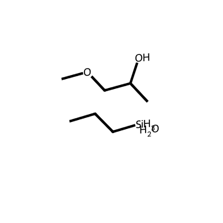 CCC[SiH3].COCC(C)O.O